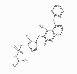 Cc1c(Cc2ccnc(NS(=O)(=O)NC(C)C)c2F)c(=O)oc2cccc(Oc3ncccn3)c12